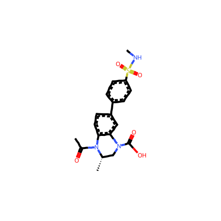 CNS(=O)(=O)c1ccc(-c2ccc3c(c2)N(C(=O)O)C[C@H](C)N3C(C)=O)cc1